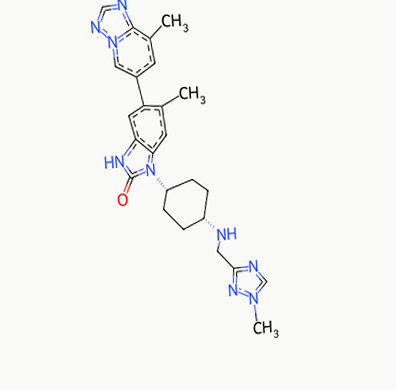 Cc1cc2c(cc1-c1cc(C)c3ncnn3c1)[nH]c(=O)n2[C@H]1CC[C@@H](NCc2ncn(C)n2)CC1